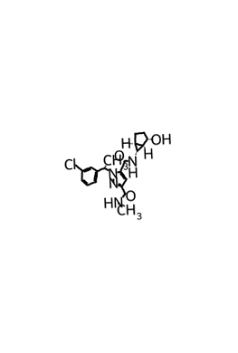 CNC(=O)c1cc(C(=O)N[C@@H]2[C@H]3CC[C@H](O)[C@H]32)n([C@@H](C)c2cccc(Cl)c2)n1